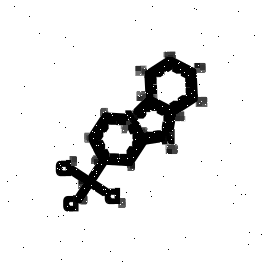 ClC(Cl)(Cl)c1ccn2c(c1)nc1ccccc12